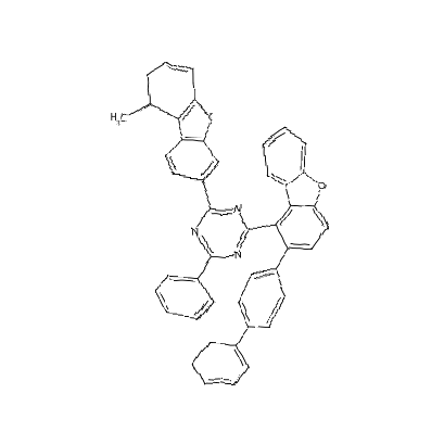 CC1CC=Cc2sc3cc(-c4nc(-c5ccccc5)nc(-c5c(-c6ccc(C7=CC=CCC7)cc6)ccc6oc7ccccc7c56)n4)ccc3c21